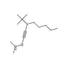 CCCCCC(C#CO[SiH](C)C)C(C)(C)C